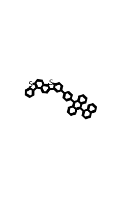 c1ccc2c(-c3c4ccccc4c(-c4ccc(-c5ccc6sc7c(ccc8c7ccc7sc9ccccc9c78)c6c5)cc4)c4ccccc34)cccc2c1